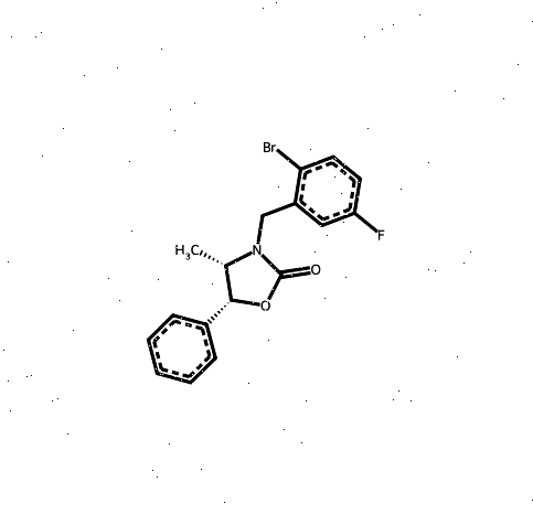 C[C@H]1[C@@H](c2ccccc2)OC(=O)N1Cc1cc(F)ccc1Br